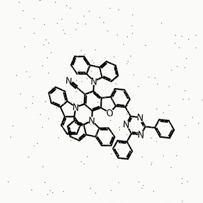 N#Cc1c(-n2c3ccccc3c3ccccc32)c(-n2c3ccccc3c3ccccc32)c2oc3c(-c4nc(-c5ccccc5)nc(-c5ccccc5)n4)cccc3c2c1-n1c2ccccc2c2ccccc21